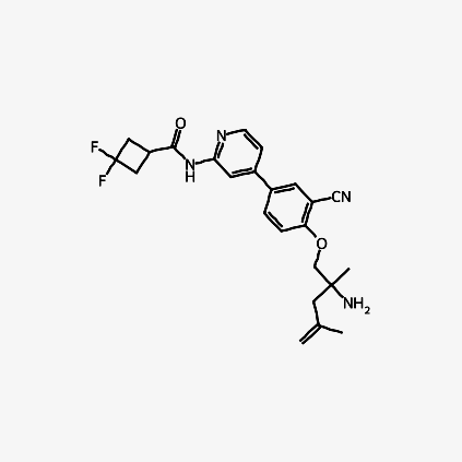 C=C(C)CC(C)(N)COc1ccc(-c2ccnc(NC(=O)C3CC(F)(F)C3)c2)cc1C#N